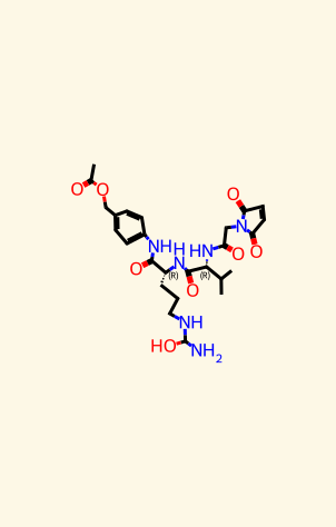 CC(=O)OCc1ccc(NC(=O)[C@@H](CCCNC(N)O)NC(=O)[C@H](NC(=O)CN2C(=O)C=CC2=O)C(C)C)cc1